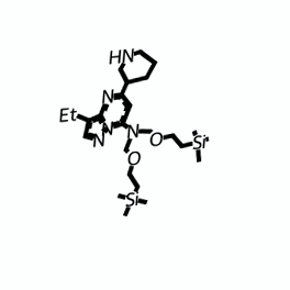 CCc1cnn2c(N(COCC[Si](C)(C)C)COCC[Si](C)(C)C)cc(C3CCCNC3)nc12